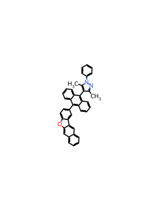 Cc1nn(-c2ccccc2)c(C)c1-c1c2ccccc2c(-c2ccc3oc4cc5ccccc5cc4c3c2)c2ccccc12